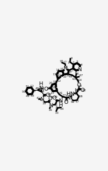 CCc1ccncc1-c1c2c3cc(ccc3n1CC)-c1cc(O)cc(c1)C[C@H](NC(=O)[C@H](C(C)C)N(C)C(=O)CN(C)C(=O)[C@@H]1N[C@@H]1c1ccccc1)C(=O)N1CCC[C@H](N1)C(=O)OCC(C)(C)C2